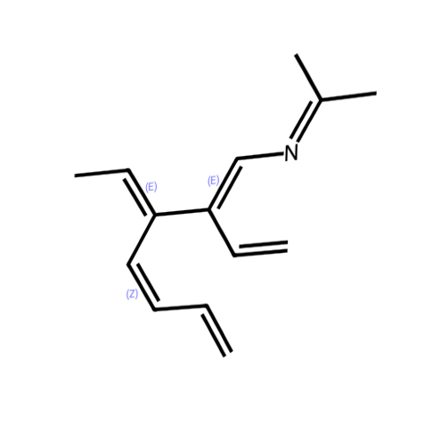 C=C\C=C/C(=C\C)C(/C=C)=C/N=C(C)C